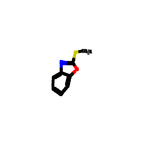 O=C(O)Sc1nc2ccccc2o1